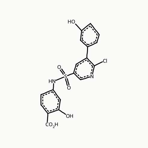 O=C(O)c1ccc(NS(=O)(=O)c2cnc(Cl)c(-c3cccc(O)c3)c2)cc1O